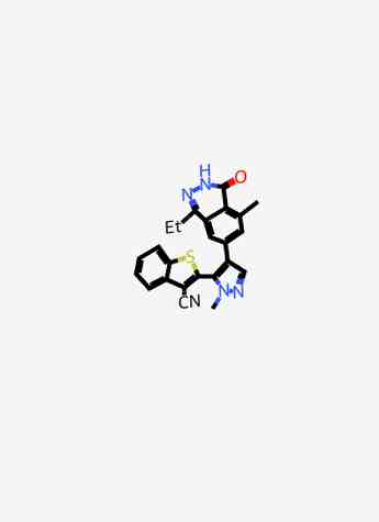 CCc1n[nH]c(=O)c2c(C)cc(-c3cnn(C)c3-c3sc4ccccc4c3C#N)cc12